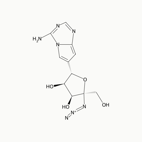 [N-]=[N+]=N[C@]1(CO)O[C@@H](c2cc3ncnc(N)n3c2)[C@H](O)[C@@H]1O